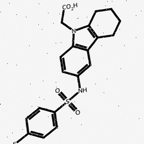 O=C(O)Cn1c2c(c3cc(NS(=O)(=O)c4ccc(F)cc4)ccc31)CCCC2